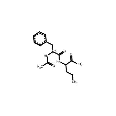 CCCC(NC(=O)[C@H](Cc1ccccc1)NC(C)=O)C(C)=O